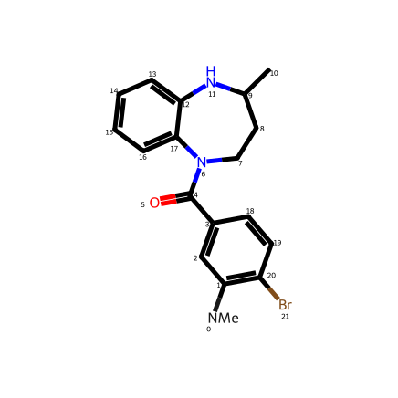 CNc1cc(C(=O)N2CCC(C)Nc3ccccc32)ccc1Br